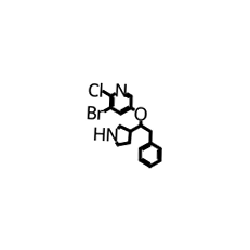 Clc1ncc(OC(Cc2ccccc2)C2CCNC2)cc1Br